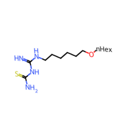 CCCCCCOCCCCCCNC(=N)NC(N)=S